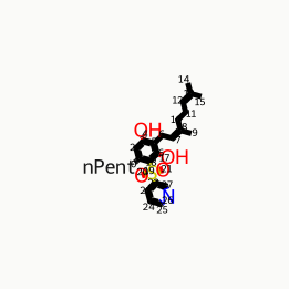 CCCCCc1cc(O)c(CC=C(C)CCC=C(C)C)c(O)c1S(=O)(=O)c1cccnc1